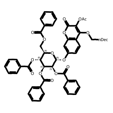 CCCCCCCCCCCOc1c(OC(C)=O)c(=O)oc2cc(O[C@H]3O[C@H](COC(=O)c4ccccc4)[C@@H](OC(=O)c4ccccc4)[C@H](OC(=O)c4ccccc4)[C@@H]3OC(=O)c3ccccc3)ccc12